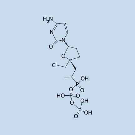 C[C@H](C[C@]1(CCl)CC[C@H](n2ccc(N)nc2=O)O1)P(=O)(O)OP(=O)(O)OP(=O)(O)O